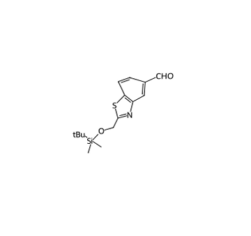 CC(C)(C)[Si](C)(C)OCc1nc2cc(C=O)ccc2s1